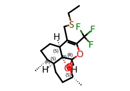 CCSCC1=C(C(F)(F)F)O[C@@H]2O[C@]3(C)CC[C@H]4[C@H](C)CC[C@@H]1[C@@]24OO3